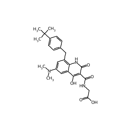 CN(C)c1cc(Cc2ccc(C(C)(C)C)cc2)c2[nH]c(=O)c(C(=O)NCC(=O)O)c(O)c2c1